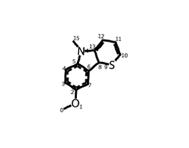 COc1ccc2c(c1)C1SC=CC=C1N2C